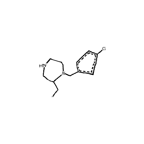 [CH2]CC1CNCCN1Cc1ccc(Cl)cc1